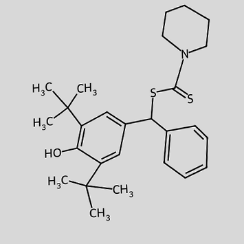 CC(C)(C)c1cc(C(SC(=S)N2CCCCC2)c2ccccc2)cc(C(C)(C)C)c1O